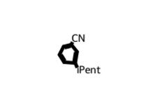 CCCC(C)c1cccc(C#N)c1